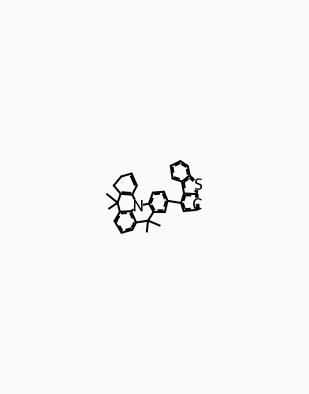 CC1(C)C2=C(C=CCC2)N2c3ccc(-c4cccc5sc6ccccc6c45)cc3C(C)(C)c3cccc1c32